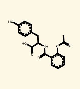 CC(=O)Oc1ccccc1C(=O)NC(Cc1ccc(O)cc1)C(=O)O